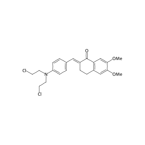 COc1cc2c(cc1OC)C(=O)/C(=C/c1ccc(N(CCCl)CCCl)cc1)CC2